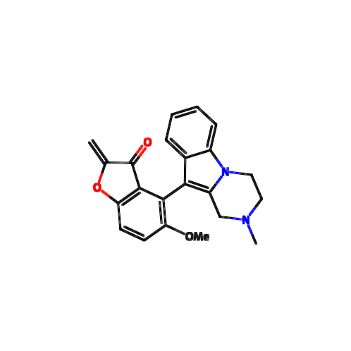 C=C1Oc2ccc(OC)c(-c3c4n(c5ccccc35)CCN(C)C4)c2C1=O